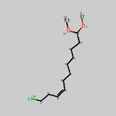 CCOC(CCCCCC/C=C\CCCl)OCC